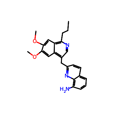 CCCc1ncc(Cc2ccc3cccc(N)c3n2)c2cc(OC)c(OC)cc12